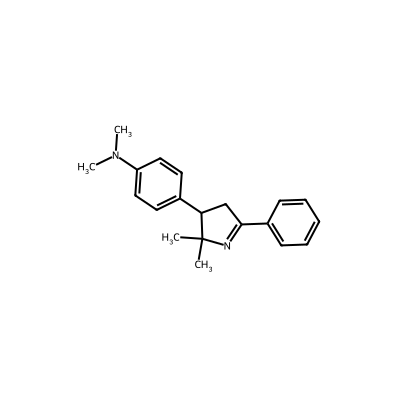 CN(C)c1ccc(C2CC(c3ccccc3)=NC2(C)C)cc1